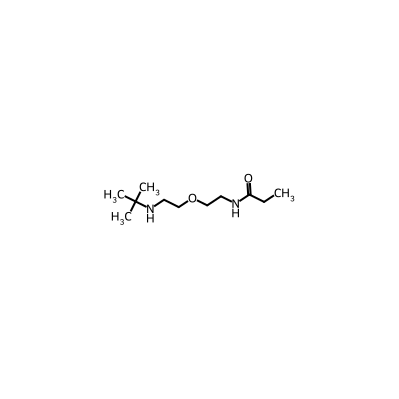 CCC(=O)NCCOCCNC(C)(C)C